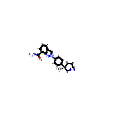 B[C@]1(c2ccc(-n3cc4cccc(C(N)=O)c4n3)cc2)CCCNC1